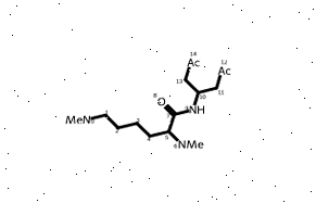 CNCCCCC(NC)C(=O)NC(CC(C)=O)CC(C)=O